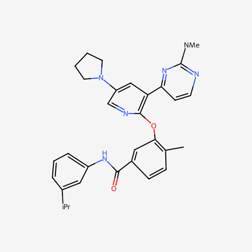 CNc1nccc(-c2cc(N3CCCC3)cnc2Oc2cc(C(=O)Nc3cccc(C(C)C)c3)ccc2C)n1